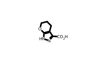 O=C(O)c1n[nH]c2c1CCCO2